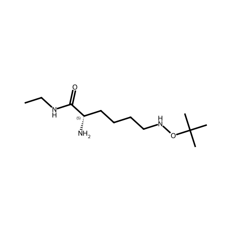 CCNC(=O)[C@@H](N)CCCCNOC(C)(C)C